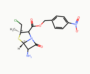 C[C@@]1(CCl)S[C@H]2C(N)C(=O)N2C1C(=O)OCc1ccc([N+](=O)[O-])cc1